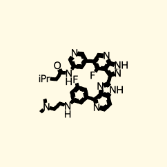 CC(C)CC(=O)Nc1cncc(-c2cnc3[nH]nc(-c4nc5c(-c6cc(F)cc(NCCN(C)C)c6)nccc5[nH]4)c3c2F)c1